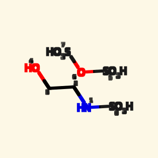 O=S(=O)(O)NCCO.O=S(=O)(O)OS(=O)(=O)O